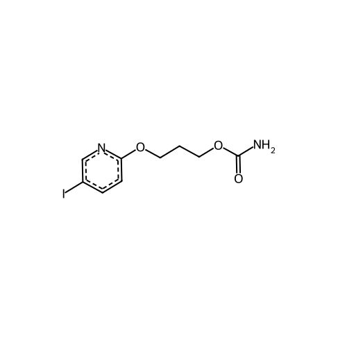 NC(=O)OCCCOc1ccc(I)cn1